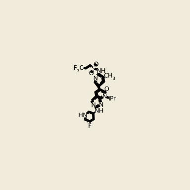 Cc1cc(-c2cc3cnc(N[C@@H]4CNC[C@@H](F)C4)nc3n(C(C)C)c2=O)cnc1NS(=O)(=O)CCC(F)(F)F